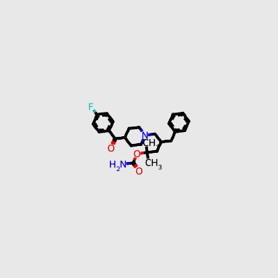 CC(C)(CC(Cc1ccccc1)CN1CCC(C(=O)c2ccc(F)cc2)CC1)OC(N)=O